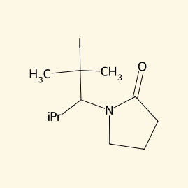 CC(C)C(N1CCCC1=O)C(C)(C)I